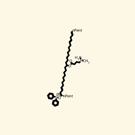 CCCCCC=CCC=CCCCCCCCCC(CCCCCCCCC=CC[C@@H](CCCCC)O[Si](c1ccccc1)(c1ccccc1)C(C)(C)C)OC(=O)CCCN(C)C